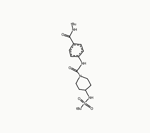 CC(C)(C)NC(=O)c1ccc(NC(=O)N2CCC(NS(=O)(=O)C(C)(C)C)CC2)cc1